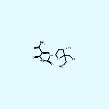 NC(=O)c1cn([C@H]2C[C@H](O)C(CO)(CO)O2)c(=O)[nH]c1=O